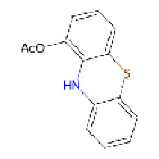 CC(=O)Oc1cccc2c1Nc1ccccc1S2